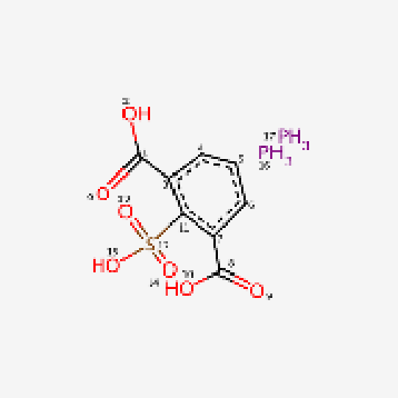 O=C(O)c1cccc(C(=O)O)c1S(=O)(=O)O.P.P